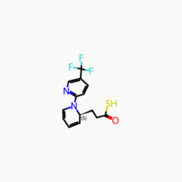 O=C(S)CC[C@H]1C=CC=CN1c1ccc(C(F)(F)F)cn1